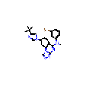 CN(c1cccc(Br)c1)c1nc2nncn2c2cc(-n3cnc(C(C)(C)C)c3)ccc12